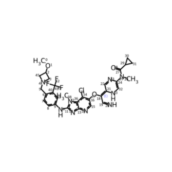 COC1CN(Cc2ccc(Nc3nc4ncc(O/C(C=N)=C5\C=NC(N(C)C(=O)C6CC6)=CN5)c(Cl)c4n3C)cc2C(F)(F)F)C1